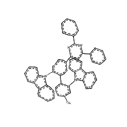 N#Cc1ccc(-c2cc(-c3nc(-c4ccccc4)nc(-c4ccccc4)n3)ccc2-n2c3ccccc3c3ccccc32)c(-n2c3ccccc3c3ccccc32)c1